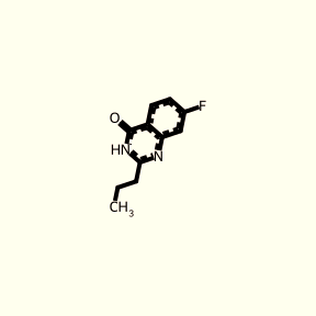 CCCc1nc2cc(F)ccc2c(=O)[nH]1